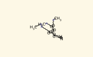 CC/C=C\CCCCOC(CCC(=O)OCC(COC(=O)CCCCCCC/C=C\C/C=C\CCCCC)COC(=O)CCNCc1cccnc1)OCCCC/C=C\CC